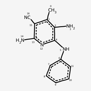 Cc1c(N)c(Nc2ccccc2)nc(N)c1C#N